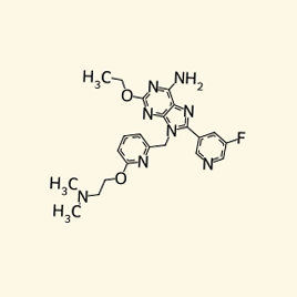 CCOc1nc(N)c2nc(-c3cncc(F)c3)n(Cc3cccc(OCCN(C)C)n3)c2n1